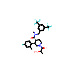 Cc1cc(F)ccc1[C@@H]1CN(C(=O)C(C)O)CC[C@H]1C(=O)N(C)Cc1cc(C(F)(F)F)cc(C(F)(F)F)c1